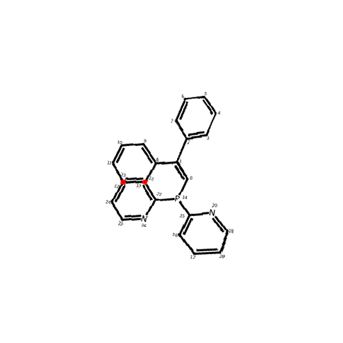 C(=C(c1ccccc1)c1ccccc1)P(c1ccccn1)c1ccccn1